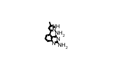 Cc1cc(-c2cccc3nc(N)nc(N)c23)n[nH]1